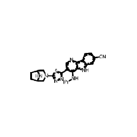 CC(C)Nc1c(-c2nnc(N3CC4CCC(C3)N4)s2)cnc2c1[nH]c1cc(C#N)ccc12